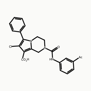 CC(=O)c1cccc(NC(=O)N2CCn3c(c(C(=O)O)c(Cl)c3-c3ccccc3)C2)c1